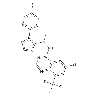 CC(Nc1ncnc2c(C(F)(F)F)cc(Cl)cc12)c1ncnn1-c1ccc(F)cn1